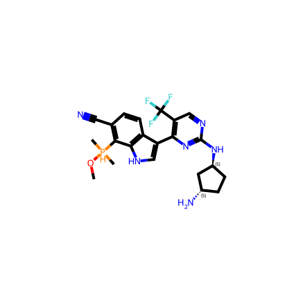 CO[PH](C)(C)c1c(C#N)ccc2c(-c3nc(N[C@H]4CC[C@H](N)C4)ncc3C(F)(F)F)c[nH]c12